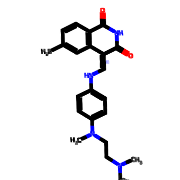 Bc1ccc2c(c1)/C(=C\Nc1ccc(N(C)CCN(C)CCCC)cc1)C(=O)NC2=O